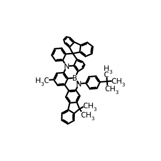 Cc1cc2c3c(c1)N1c4ccccc4C4(c5ccccc5-c5ccccc54)c4cccc(c41)B3N(c1ccc(C(C)(C)C)cc1)c1cc3c(cc1-2)-c1ccccc1C3(C)C